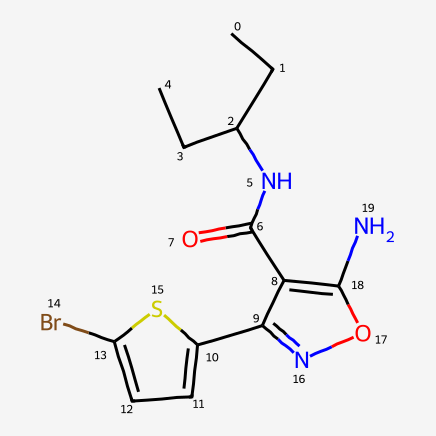 CCC(CC)NC(=O)c1c(-c2ccc(Br)s2)noc1N